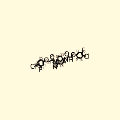 O=C(COc1ccc(Cl)c(F)c1)NC12CCC(=O)C(NC(=O)COc3ccc(Cl)c(F)c3)(CC1)C2